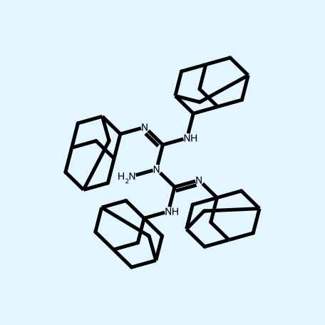 NN(C(=NC1C2CC3CC(C2)CC1C3)NC1C2CC3CC(C2)CC1C3)C(=NC12CC3CC(CC(C3)C1)C2)NC12CC3CC(CC(C3)C1)C2